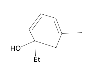 CCC1(O)C=CC=C(C)C1